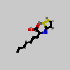 CCCCCCCC(NC1CCSS1)C(=O)O